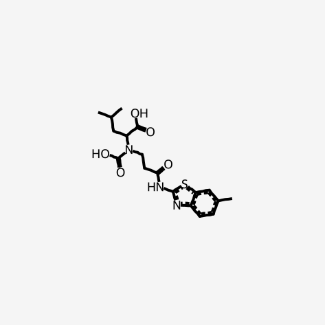 Cc1ccc2nc(NC(=O)CCN(C(=O)O)C(CC(C)C)C(=O)O)sc2c1